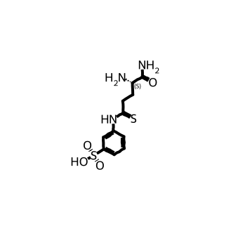 NC(=O)[C@@H](N)CCC(=S)Nc1cccc(S(=O)(=O)O)c1